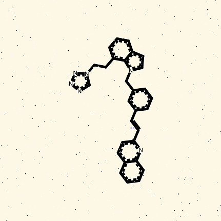 C(=C\c1ccc2ccccc2n1)/c1cccc(Cn2ccc3cccc(CCn4cnnn4)c32)c1